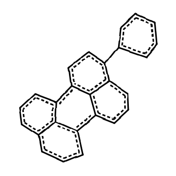 c1ccc(-c2ccc3c4cccc5cccc(c6cccc2c63)c54)cc1